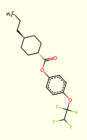 CCC[C@H]1CC[C@H](C(=O)Oc2ccc(OC(F)(F)C(F)F)cc2)CC1